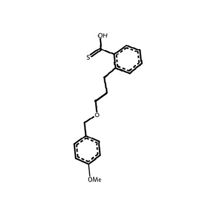 COc1ccc(COCCCc2ccccc2C(O)=S)cc1